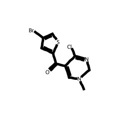 CN1C=C(C(=O)c2cc(Br)cs2)C(Cl)=NC1